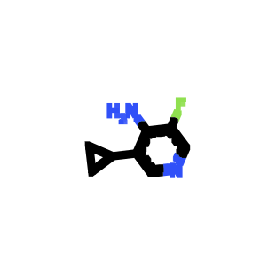 Nc1c(F)cncc1C1CC1